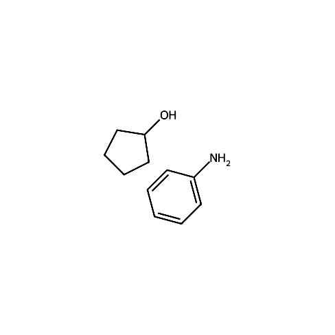 Nc1ccccc1.OC1CCCC1